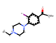 COC(=O)c1ccc(N2CCN(C[C](C)C)CC2)c(I)c1